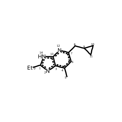 CCc1nc2c(C)cc(CC3CC3)nc2[nH]1